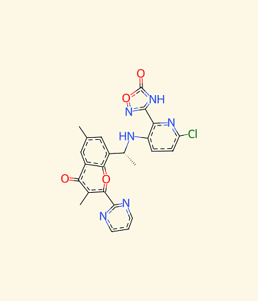 Cc1cc([C@@H](C)Nc2ccc(Cl)nc2-c2noc(=O)[nH]2)c2oc(-c3ncccn3)c(C)c(=O)c2c1